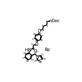 CCCCCCCCCCCCCCOc1ccc(OCC(=O)Nc2ccccc2C[n+]2ccsc2)cc1.[Br-]